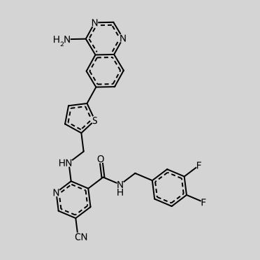 N#Cc1cnc(NCc2ccc(-c3ccc4ncnc(N)c4c3)s2)c(C(=O)NCc2ccc(F)c(F)c2)c1